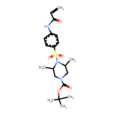 C=CC(=O)Nc1ccc(S(=O)(=O)N2C(C)CN(C(=O)OC(C)(C)C)CC2C)cc1